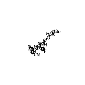 C[C@H]1CN(C(C(=O)NCCOCCOCCNC(=O)OC(C)(C)C)c2ccc(F)cc2)CCN1c1cc(=O)n(C)c2ccc(C#N)nc12